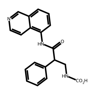 O=C(O)NCC(C(=O)Nc1cccc2cnccc12)c1ccccc1